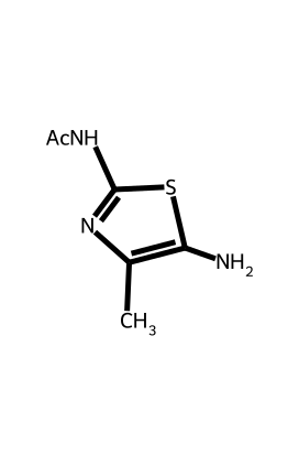 CC(=O)Nc1nc(C)c(N)s1